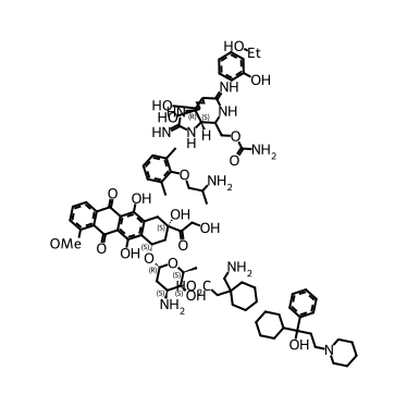 CCO.COc1cccc2c1C(=O)c1c(O)c3c(c(O)c1C2=O)C[C@@](O)(C(=O)CO)C[C@@H]3O[C@H]1C[C@H](N)[C@H](O)[C@H](C)O1.Cc1cccc(C)c1OCC(C)N.N=C1N[C@H]2C(COC(N)=O)NC(=N)C3CCC(O)(O)[C@@]32N1.NCC1(CC(=O)O)CCCCC1.OC(CCN1CCCCC1)(c1ccccc1)C1CCCCC1.Oc1ccccc1